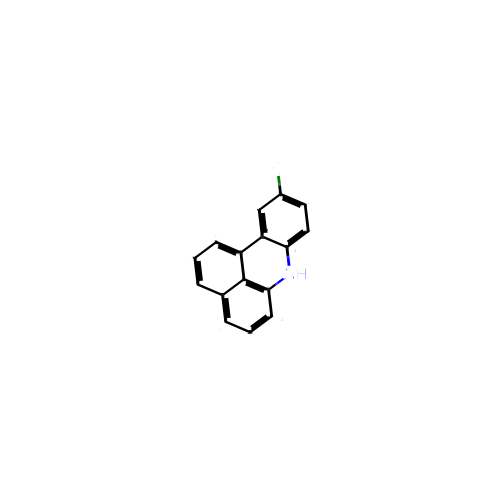 Clc1ccc2c(c1)-c1cccc3cccc(c13)N2